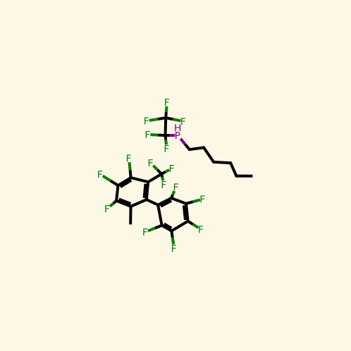 CCCCCCPC(F)(F)C(F)(F)F.Cc1c(F)c(F)c(F)c(C(F)(F)F)c1-c1c(F)c(F)c(F)c(F)c1F